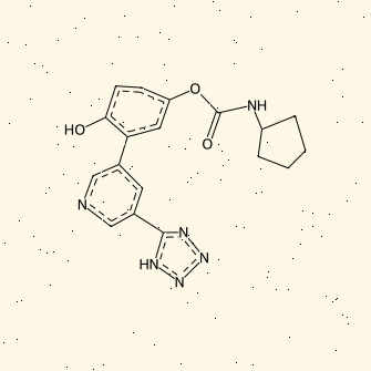 O=C(NC1CCCC1)Oc1ccc(O)c(-c2cncc(-c3nnn[nH]3)c2)c1